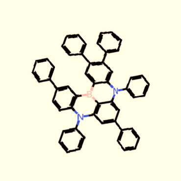 c1ccc(-c2ccc3c(c2)B2c4cc(-c5ccccc5)c(-c5ccccc5)cc4N(c4ccccc4)c4cc(-c5ccccc5)cc(c42)N3c2ccccc2)cc1